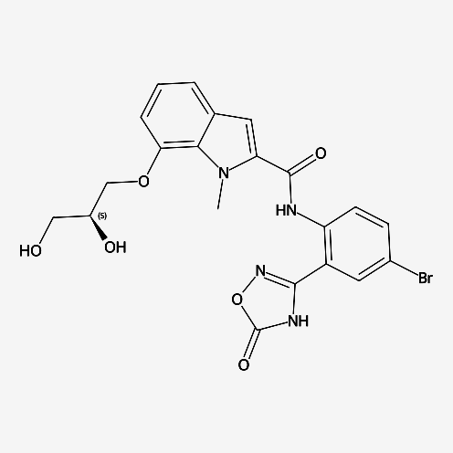 Cn1c(C(=O)Nc2ccc(Br)cc2-c2noc(=O)[nH]2)cc2cccc(OC[C@@H](O)CO)c21